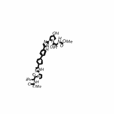 COC(=O)NC(C(=O)N1CC=C[C@H]1c1ncc(-c2ccc(-c3ccc(-c4cnc([C@@H]5CC(O)CN5C(=O)[C@@H](NC(=O)OC)C(C)C)[nH]4)cc3)cc2)[nH]1)C(C)C